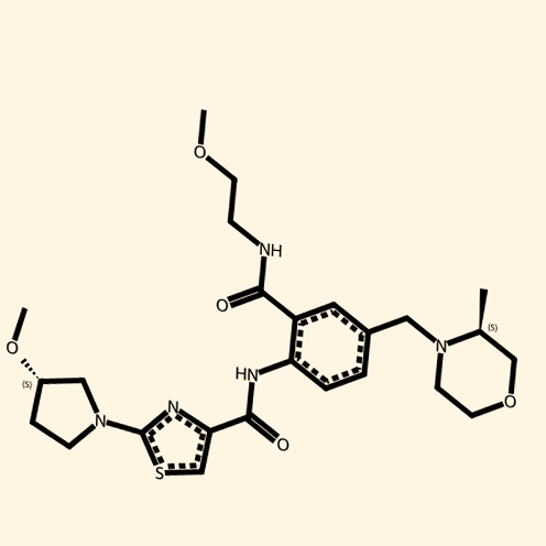 COCCNC(=O)c1cc(CN2CCOC[C@@H]2C)ccc1NC(=O)c1csc(N2CC[C@H](OC)C2)n1